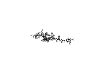 COc1cc(/C=C/C(=O)CCNC(=O)CCNC(=O)C(O)C(C)(C)COP(=O)(O)OP(=O)(O)OCC2OC(n3cnc4c(N)ncnc43)C(O)C2OP(=O)(O)O)ccc1O